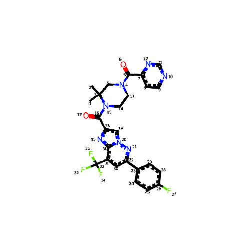 CC1(C)CN(C(=O)c2ccncn2)CCN1C(=O)c1cn2nc(-c3ccc(F)cc3)cc(C(F)(F)F)c2n1